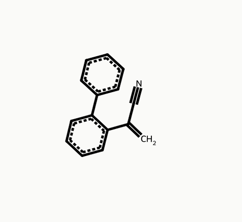 C=C(C#N)c1ccccc1-c1ccccc1